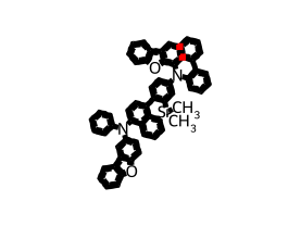 C[Si]1(C)c2cc(N(c3ccccc3-c3ccccc3)c3cccc4c3oc3ccccc34)ccc2-c2ccc(N(c3ccccc3)c3ccc4oc5ccccc5c4c3)c3cccc1c23